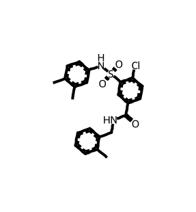 Cc1ccc(NS(=O)(=O)c2cc(C(=O)NCc3ccccc3C)ccc2Cl)cc1C